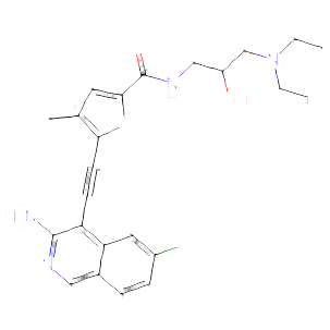 CCN(CC)CC(O)CNC(=O)c1cc(C)c(C#Cc2c(N)ncc3ccc(Cl)cc23)s1